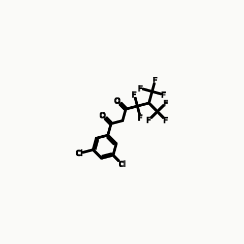 O=C(CC(=O)C(F)(F)C(C(F)(F)F)C(F)(F)F)c1cc(Cl)cc(Cl)c1